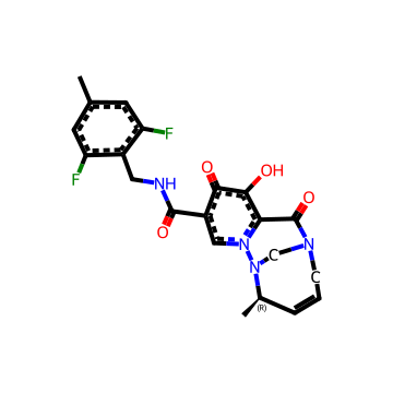 Cc1cc(F)c(CNC(=O)c2cn3c(c(O)c2=O)C(=O)N2CC=C[C@@H](C)N3C2)c(F)c1